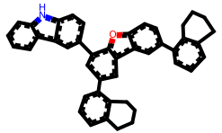 c1cc2c(c(-c3ccc4oc5c(-c6ccc7[nH]c8ccccc8c7c6)cc(-c6cccc7c6CCCC7)cc5c4c3)c1)CCCC2